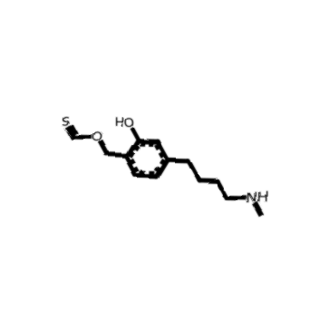 CNCCCCc1ccc(COC=S)c(O)c1